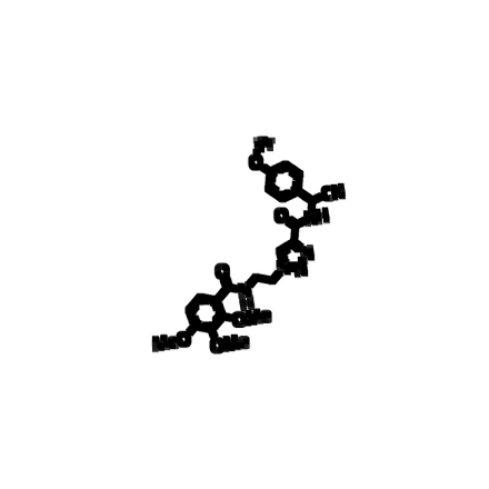 COc1ccc(C(=O)NCCn2cc(C(=O)NC(C#N)c3ccc(OC(C)C)cc3)nn2)c(OC)c1OC